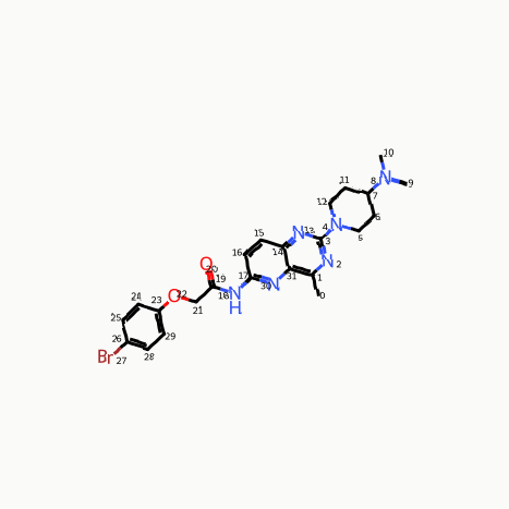 Cc1nc(N2CCC(N(C)C)CC2)nc2ccc(NC(=O)COc3ccc(Br)cc3)nc12